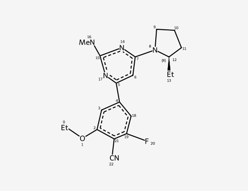 CCOc1cc(-c2cc(N3CCC[C@H]3CC)nc(NC)n2)cc(F)c1C#N